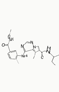 CCC(C)NC(=O)c1cn2ncnc(Nc3cc(C(=O)NOC)ccc3C)c2c1C